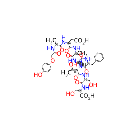 CC[C@H](C)[C@H](NC(=O)[C@H](C)NC(=O)[C@H](CC(=O)O)NC(=O)[C@H](C)NC(=O)COc1ccc(O)cc1)C(=O)N[C@@H](Cc1ccccc1)C(=O)N[C@H](C(=O)N[C@@H](CO)C(=O)N[C@@H](CO)C(=O)O)[C@@H](C)O